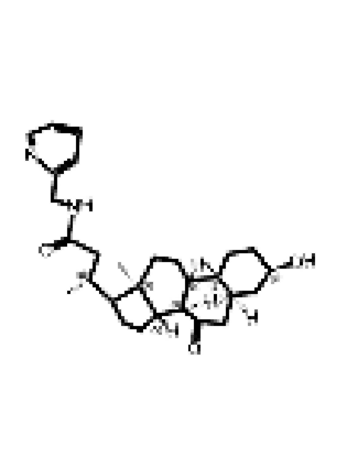 C[C@H](CC(=O)NCc1ccccn1)C1CC[C@H]2[C@@H]3C(=O)C[C@@H]4C[C@H](O)CC[C@]4(C)[C@H]3CC[C@]12C